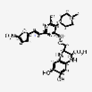 CN1CCN(c2c(F)nc(/C=C/c3ccc([N+](=O)[O-])o3)nc2NOCC2Nc3cc(O)c(O)cc3NC2C(=O)O)CC1